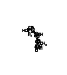 CC1CC(COP(=O)(O)OCCSC(=O)C(C)(C)CO)OC1n1ccc(=O)[nH]c1=O